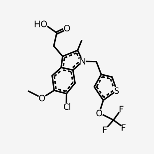 COc1cc2c(CC(=O)O)c(C)n(Cc3csc(OC(F)(F)F)c3)c2cc1Cl